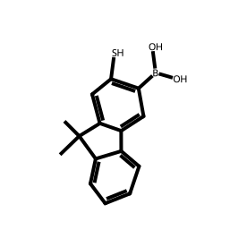 CC1(C)c2ccccc2-c2cc(B(O)O)c(S)cc21